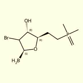 B[C@@H]1O[C@H](CCP(=C)(C)C)[C@@H](O)C1Br